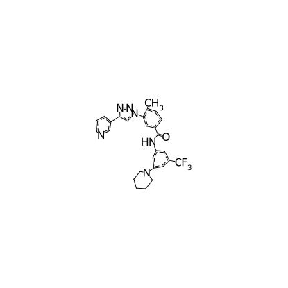 Cc1ccc(C(=O)Nc2cc(N3CCCCC3)cc(C(F)(F)F)c2)cc1-n1cc(-c2cccnc2)nn1